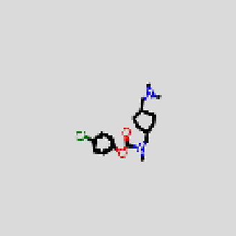 CN(C)CC1CCC(CN(C)C(=O)Oc2ccc(Cl)cc2)CC1